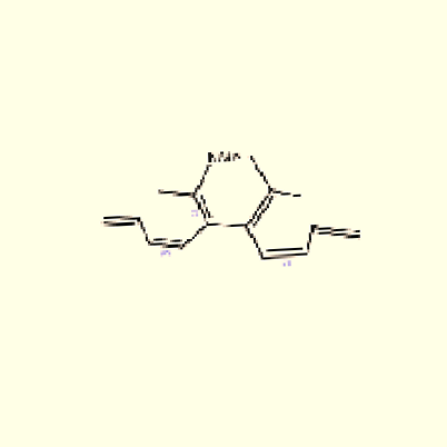 C=C/C=C\C(=C(C)C)C(/C=C\C=C)=C(/C)NC